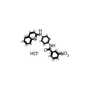 Cl.O=C(N[C@H]1CC[C@@H](Nc2ccc3ccccc3n2)CC1)c1cccc([N+](=O)[O-])c1